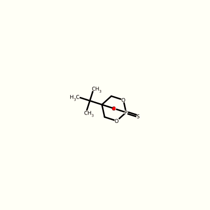 CC(C)(C)C12COP(=S)(OC1)OC2